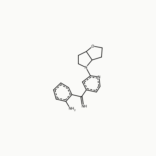 N=C(c1ccnc(N2CCC3OCCC32)c1)c1ccccc1N